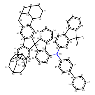 CC1(C)c2ccccc2-c2ccc(N(c3ccc(-c4ccccc4)cc3)c3cccc4c3-c3ccccc3C43c4cc5c(cc4-c4cc6c(cc43)C3CCCC4CC6CC43)C3CC4CC(C3)CC5C4)cc21